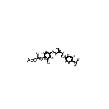 C=C(COc1ccc(N(C)C)cc1)CSc1ccc(OC(C)OC(C)=O)c(C)c1